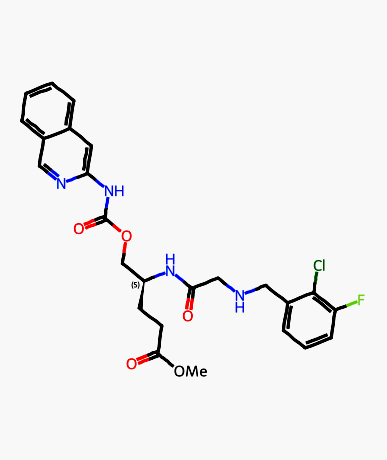 COC(=O)CC[C@@H](COC(=O)Nc1cc2ccccc2cn1)NC(=O)CNCc1cccc(F)c1Cl